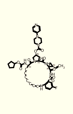 C=C[C@@H]1C[C@@]12NC(=O)[C@@H]1C[C@@H](OC(=O)N3CCN(c4ccncc4)CC3)CN1C(=O)[C@@H](NC(=O)OC1CCCC1)CCCCCCCNc1ccc(F)cc1S(=O)(=O)NC2=O